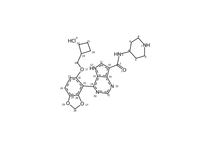 Cl.O=C(NC1CCNCC1)c1c[nH]c2c(-c3c(OCC4CCC4)ccc4c3OCO4)ncnc12